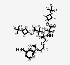 C[C@H](Cn1cnc2c(N)ccnc21)OCP(=O)(NC(C)(C)C(=O)O[C@H]1C[C@H](C(C)(C)C)C1)NC(C)(C)C(=O)O[C@H]1C[C@H](C(C)(C)C)C1